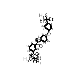 CCC(C)(CC)c1ccc(Oc2ccc(S(=O)(=O)c3cccc(S(=O)(=O)C(C)(C)CC)c3)cc2)cc1